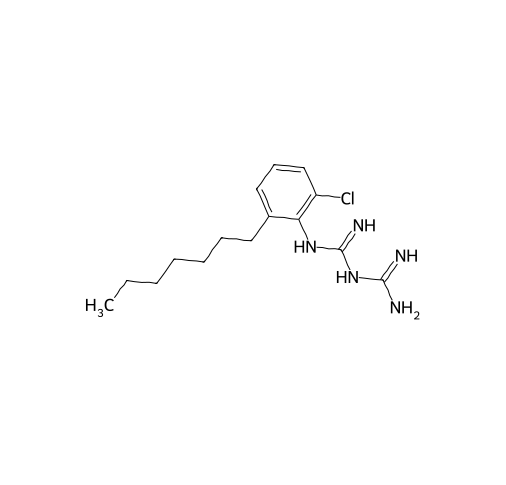 CCCCCCCc1cccc(Cl)c1NC(=N)NC(=N)N